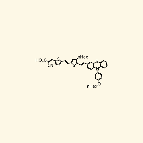 CCCCCCOc1ccc(N2c3ccccc3Sc3cc(/C=C/c4sc(/C=C/c5ccc(/C=C(\C#N)C(=O)O)s5)cc4CCCCCC)ccc32)cc1